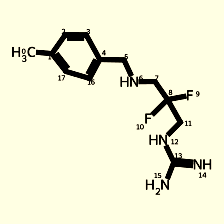 Cc1ccc(CNCC(F)(F)CNC(=N)N)cc1